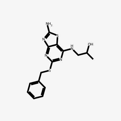 CC(O)CNc1nc(SCc2ccccc2)nc2nc(N)sc12